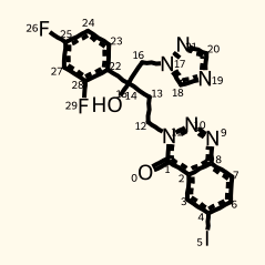 O=c1c2cc(I)ccc2nnn1CCC(O)(Cn1cncn1)c1ccc(F)cc1F